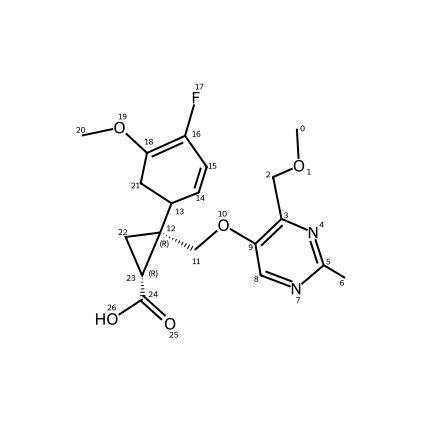 COCc1nc(C)ncc1OC[C@@]1(C2C=CC(F)=C(OC)C2)C[C@H]1C(=O)O